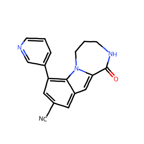 N#Cc1cc(-c2cccnc2)c2c(c1)cc1n2CCCNC1=O